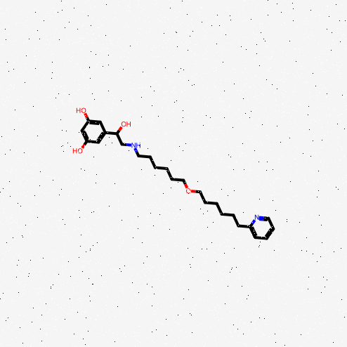 Oc1cc(O)cc(C(O)CNCCCCCCOCCCCCCc2ccccn2)c1